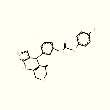 O=C(Nc1ccc(Cl)cc1)Nc1cccc(C2C3=C(CNCC3=O)Nc3n[nH]cc32)c1